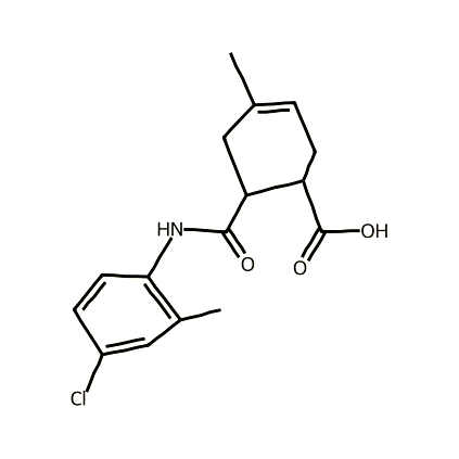 CC1=CCC(C(=O)O)C(C(=O)Nc2ccc(Cl)cc2C)C1